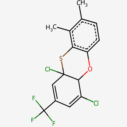 Cc1ccc2c(c1C)SC1(Cl)C=C(C(F)(F)F)C=C(Cl)C1O2